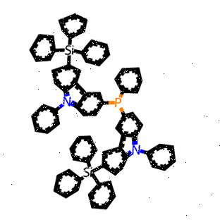 c1ccc(-n2c3ccc(P(c4ccccc4)c4ccc5c(c4)c4cc([Si](c6ccccc6)(c6ccccc6)c6ccccc6)ccc4n5-c4ccccc4)cc3c3cc([Si](c4ccccc4)(c4ccccc4)c4ccccc4)ccc32)cc1